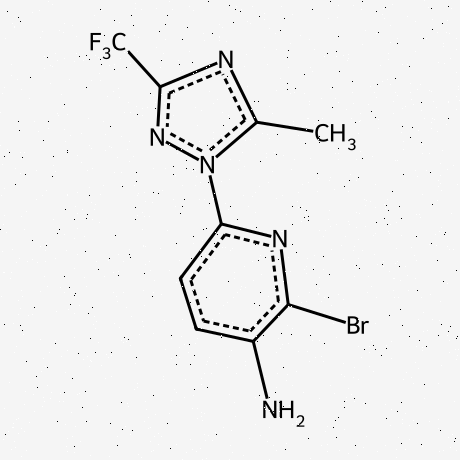 Cc1nc(C(F)(F)F)nn1-c1ccc(N)c(Br)n1